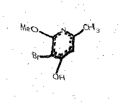 COc1nc(C)cc(O)c1Br